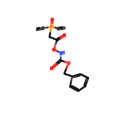 COP(=O)(CC(=O)ONC(=O)OCc1ccccc1)OC